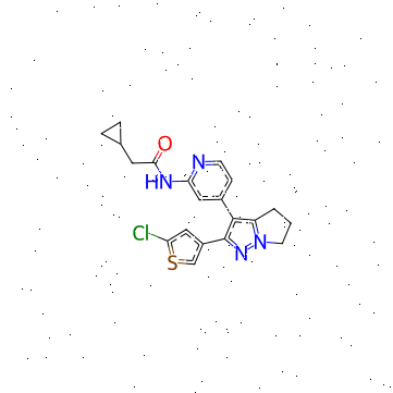 O=C(CC1CC1)Nc1cc(-c2c(-c3csc(Cl)c3)nn3c2CCC3)ccn1